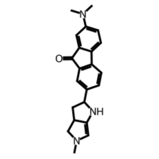 CN1C=C2NC(c3ccc4c(c3)C(=O)c3cc(N(C)C)ccc3-4)CC2C1